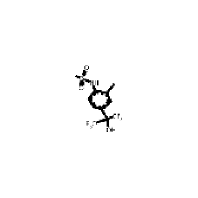 Cc1cc(C(O)(C(F)(F)F)C(F)(F)F)ccc1NS(C)(=O)=O